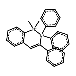 C[N+]1(C)c2ccccc2C=C(c2ccccc2)[B-]1(c1ccccc1)c1ccccc1